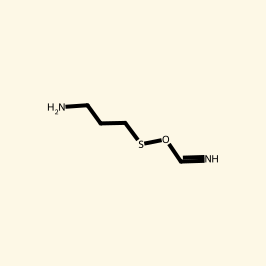 N=COSCCCN